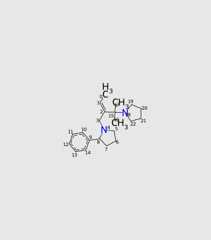 CC=C(CN1CCCC1c1ccccc1)C(C)(C)N1CCCC1